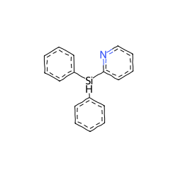 c1ccc([SiH](c2ccccc2)c2ccccn2)cc1